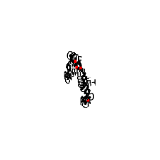 COC(=O)[C@H](Cc1ccc(-c2c(C)n(C)c(=O)n(C)c2=O)cc1)NC(=O)c1c(F)cc(CNCc2cc(F)c(C(=O)N[C@@H](Cc3ccc(-c4c(C)n(C)c(=O)n(C)c4=O)cc3)C(=O)OC)c(F)c2)cc1F